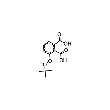 CC(C)(C)OOc1cccc(C(=O)O)c1C(=O)O